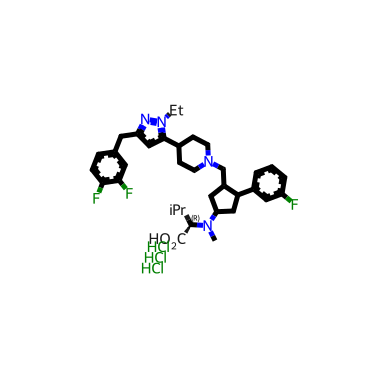 CCn1nc(Cc2ccc(F)c(F)c2)cc1C1CCN(CC2CC(N(C)[C@@H](C(=O)O)C(C)C)CC2c2cccc(F)c2)CC1.Cl.Cl.Cl